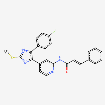 CSc1nc(-c2ccnc(NC(=O)C=Cc3ccccc3)c2)c(-c2ccc(F)cc2)[nH]1